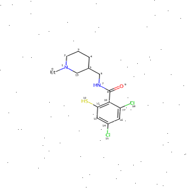 CCN1CCCC(CNC(=O)c2c(S)cc(Cl)cc2Cl)C1